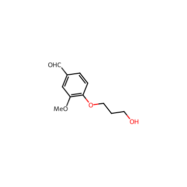 COc1cc(C=O)ccc1OCCCO